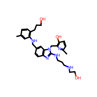 Cc1ccc(CCCO)c(NCc2ccc3nc(NCCCNCCO)n(Cc4nc(C)ccc4O)c3c2)c1